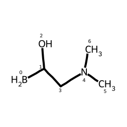 BC(O)CN(C)C